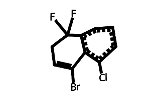 FC1(F)CC=C(Br)c2c(Cl)cccc21